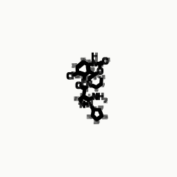 Nc1c(C(=O)N2CCC[C@@]3(C2)OC(=O)Nc2ccc(Cl)c(F)c23)cnn1C1CCCC1